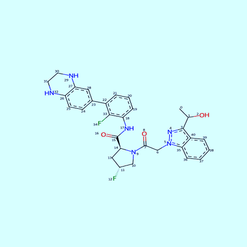 CC(O)c1nn(CC(=O)N2C[C@H](F)C[C@H]2C(=O)Nc2cccc(-c3ccc4c(c3)NCCN4)c2F)c2ccccc12